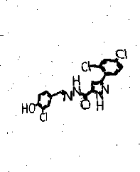 O=C(N/N=C/c1ccc(O)c(Cl)c1)c1cc(-c2ccc(Cl)cc2Cl)n[nH]1